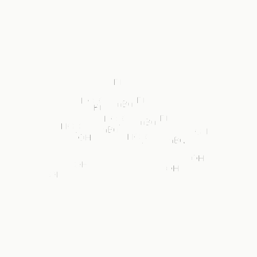 CCCCC(CC)C(=O)O.CCCCC(CC)C(=O)O.CCCCC(CC)C(=O)O.CCCCC(CC)C(=O)O.OCC(O)CO.OCC(O)CO